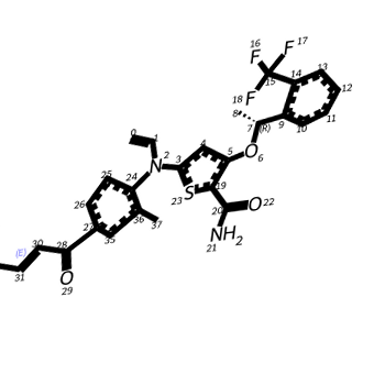 C=CN(c1cc(O[C@H](C)c2ccccc2C(F)(F)F)c(C(N)=O)s1)c1ccc(C(=O)/C=C/N(C)C)cc1C